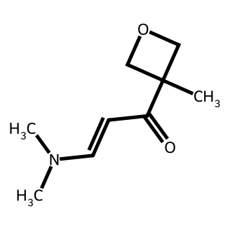 CN(C)/C=C/C(=O)C1(C)COC1